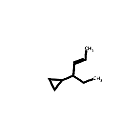 CC=CC(CC)C1[CH]C1